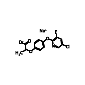 CC(Oc1ccc(Oc2ncc(Cl)cc2F)cc1)C(=O)[O-].[Na+]